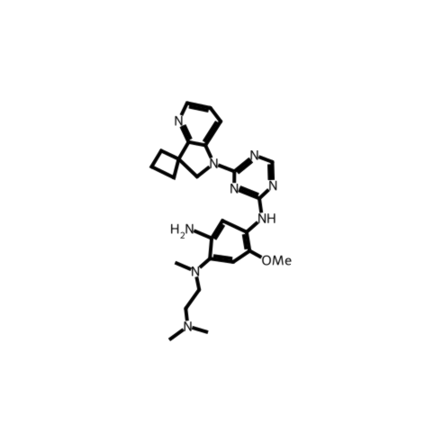 COc1cc(N(C)CCN(C)C)c(N)cc1Nc1ncnc(N2CC3(CCC3)c3ncccc32)n1